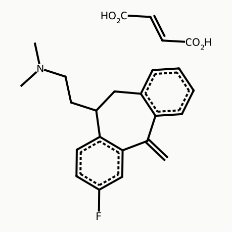 C=C1c2ccccc2CC(CCN(C)C)c2ccc(F)cc21.O=C(O)C=CC(=O)O